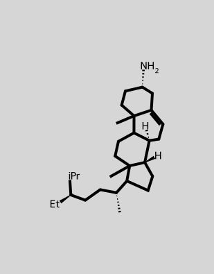 CC[C@H](CC[C@@H](C)C1CC[C@H]2[C@@H]3CC=C4C[C@@H](N)CCC4(C)C3CCC12C)C(C)C